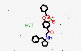 CS(=O)(=O)c1cc(C(=O)CNC2(Cc3ccccc3)CCCC2)ccc1OCc1ccccc1.Cl